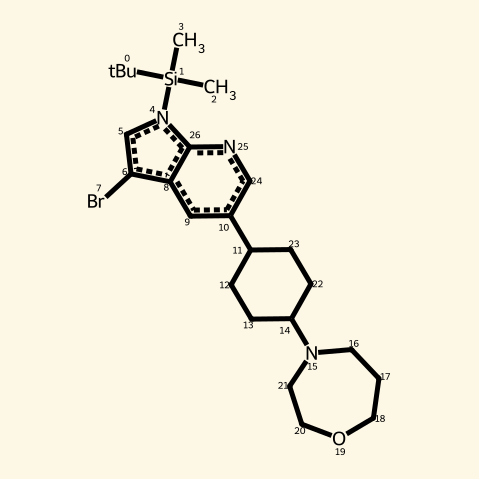 CC(C)(C)[Si](C)(C)n1cc(Br)c2cc(C3CCC(N4CCCOCC4)CC3)cnc21